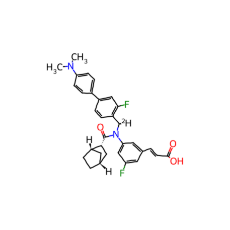 [2H][C@H](c1ccc(-c2ccc(N(C)C)cc2)cc1F)N(C(=O)[C@@H]1C[C@@H]2CC[C@H]1C2)c1cc(F)cc(/C=C/C(=O)O)c1